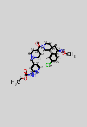 CCOC(=O)Nc1cc(CN2CCC(C(=O)N3CCC(C/C(=N/OC)c4ccc(Cl)cc4)CC3)CC2)ccn1